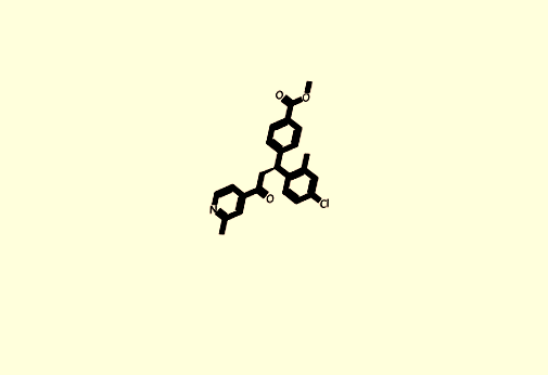 COC(=O)c1ccc([C@H](CC(=O)c2ccnc(C)c2)c2ccc(Cl)cc2C)cc1